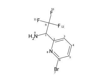 NC(c1cccc(Br)n1)C(F)(F)F